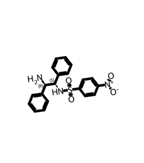 N[C@H](c1ccccc1)[C@@H](NS(=O)(=O)c1ccc([N+](=O)[O-])cc1)c1ccccc1